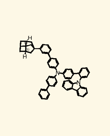 c1ccc(-c2ccc(N(c3ccc(-c4cccc(C56C[C@@H]7CC8C[C@@H](C5)C87C6)c4)cc3)c3ccc(-c4ccccc4-n4c5ccccc5c5ccccc54)cc3)cc2)cc1